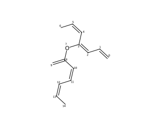 C=C/C=C(\C=C/C)OC(=C)/C=C\C=C/C